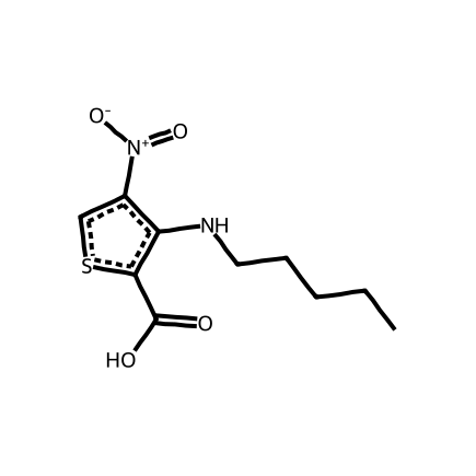 CCCCCNc1c([N+](=O)[O-])csc1C(=O)O